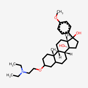 CCN(CC)CCOC1CC[C@@]2(C)C(CC[C@@H]3[C@H]2CC[C@]2(C)C(O)(c4ccc(OC)cc4)CC[C@@]32O)C1